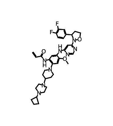 C=CC(=O)Nc1cc(Nc2cc(N3OCCC3c3ccc(F)c(F)c3)ncn2)c(OC)cc1N1CCC(N2CCN(C3CCC3)CC2)CC1